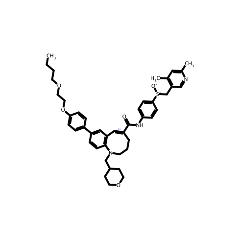 CCCCOCCOc1ccc(-c2ccc3c(c2)/C=C(/C(=O)Nc2ccc([S+]([O-])Cc4cnc(C)cc4C)cc2)CCCN3CC2CCOCC2)cc1